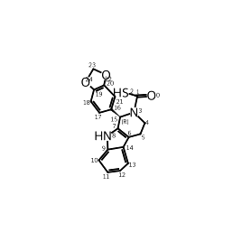 O=C(S)N1CCc2c([nH]c3ccccc23)[C@H]1c1ccc2c(c1)OCO2